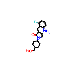 Nc1cccc(F)c1CC1CCN(C2CCC(CO)CC2)C1=O